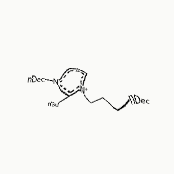 CCCCCCCCCCCCC[n+]1ccn(CCCCCCCCCC)c1CCCC